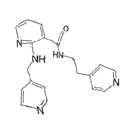 O=C(NCCc1ccncc1)c1cccnc1NCc1ccncc1